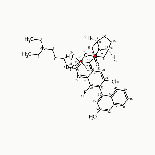 CCN(CC)CCCOc1nc(N2C[C@H]3CC[C@@H](C2)N3C(=O)OC(C)(C)C)c2cc(Cl)c(-c3cc(O)cc4ccccc34)c(F)c2n1